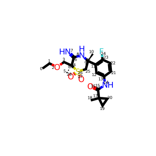 CCOC[C@@]1(C)C(=N)N[C@](C)(c2cc(NC(=O)C3(C)CC3)ccc2F)CS1(=O)=O